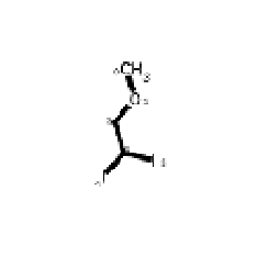 COCC(I)I